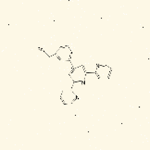 BrCc1cccc(-c2cc(-c3ccccn3)nc(-c3ccccn3)c2)c1